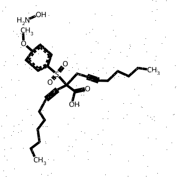 CCCCCC#CCC(C#CCCCCCC)(C(=O)O)S(=O)(=O)c1ccc(OC)cc1.NO